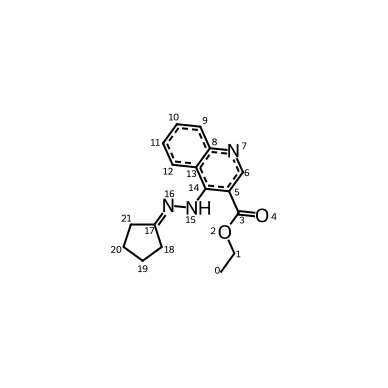 CCOC(=O)c1cnc2ccccc2c1NN=C1CCCC1